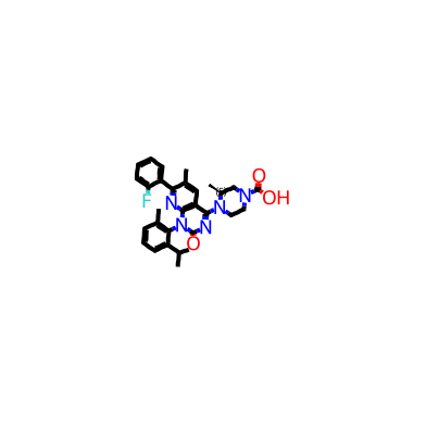 Cc1cc2c(N3CCN(C(=O)O)C[C@@H]3C)nc(=O)n(-c3c(C)cccc3C(C)C)c2nc1-c1ccccc1F